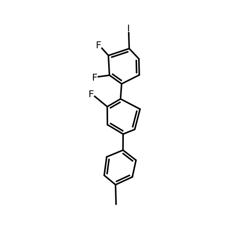 Cc1ccc(-c2ccc(-c3ccc(I)c(F)c3F)c(F)c2)cc1